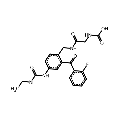 CCNC(=O)Nc1ccc(CNC(=O)CNC(=O)O)c(C(=O)c2ccccc2F)c1